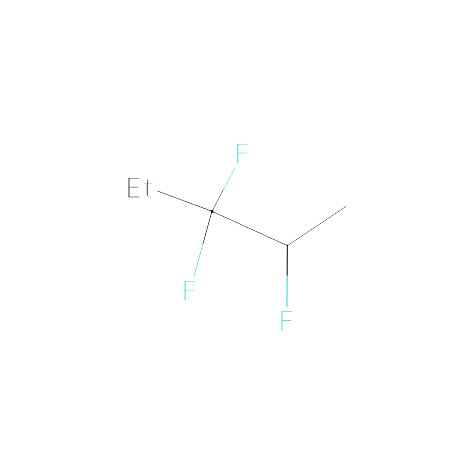 [CH2]CC(F)(F)C(C)F